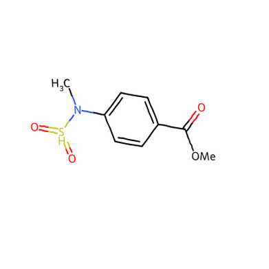 COC(=O)c1ccc(N(C)[SH](=O)=O)cc1